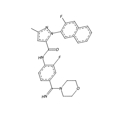 Cc1cc(C(=O)Nc2ccc(C(=N)N3CCOCC3)cc2F)n(-c2cc3ccccc3cc2F)n1